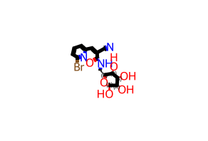 N#CC(=Cc1cccc(Br)n1)C(=O)NC[C@H]1O[C@H](O)[C@H](O)[C@@H](O)[C@H]1O